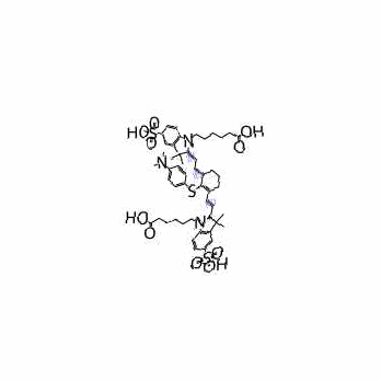 CN(C)c1ccc(SC2=C(/C=C/C3=[N+](CCCCCC(=O)O)c4ccc(S(=O)(=O)O)cc4C3(C)C)CCC/C2=C\C=C2\N(CCCCCC(=O)O)c3ccc(S(=O)(=O)O)cc3C2(C)C)cc1